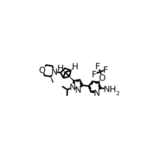 CC(C)n1nc(-c2cnc(N)c(OC(F)(F)F)c2)cc1[C@]12C3C(N4CCOC[C@@H]4C)C[C@@H]1[C@H]32